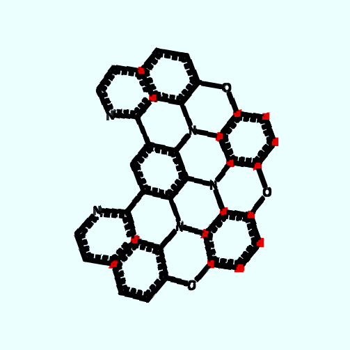 c1cnc(-c2cc(-c3ncccn3)c(N3c4ccccc4Oc4ccccc43)c(N3c4ccccc4Oc4ccccc43)c2N2c3ccccc3Oc3ccccc32)nc1